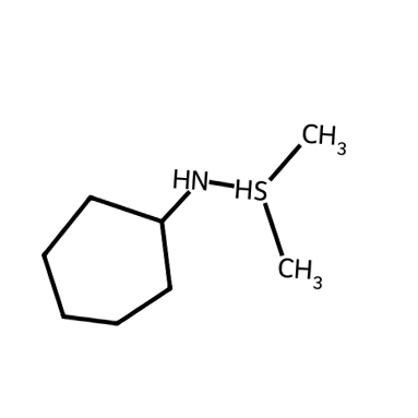 C[SH](C)NC1CCCCC1